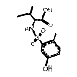 Cc1ccc(O)cc1S(=O)(=O)N[C@H](C(=O)O)C(C)C